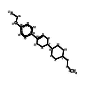 CCCC1CCC(C2CC=C(c3ccc(OCF)cc3)CC2)CC1